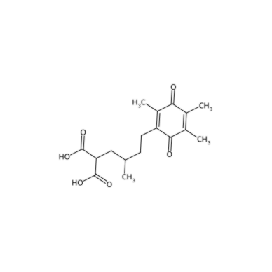 CC1=C(C)C(=O)C(CCC(C)CC(C(=O)O)C(=O)O)=C(C)C1=O